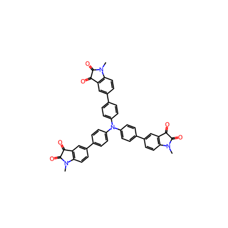 CN1C(=O)C(=O)c2cc(-c3ccc(N(c4ccc(-c5ccc6c(c5)C(=O)C(=O)N6C)cc4)c4ccc(-c5ccc6c(c5)C(=O)C(=O)N6C)cc4)cc3)ccc21